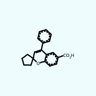 O=C(O)c1ccc2c(c1)C(c1ccccc1)=CC1(CCCC1)O2